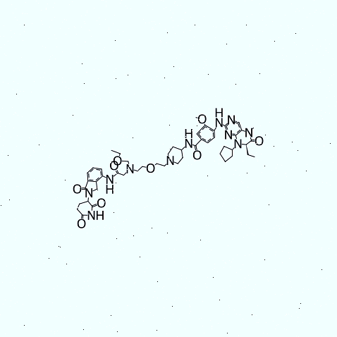 CCOCN(CCOCCN1CCC(NC(=O)c2ccc(Nc3ncc4c(n3)N(C3CCCC3)[C@H](CC)C(=O)N4C)c(OC)c2)CC1)CC(=O)Nc1cccc2c1CN(C1CCC(=O)NC1=O)C2=O